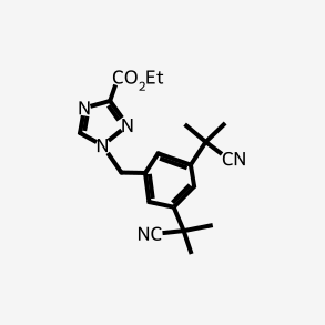 CCOC(=O)c1ncn(Cc2cc(C(C)(C)C#N)cc(C(C)(C)C#N)c2)n1